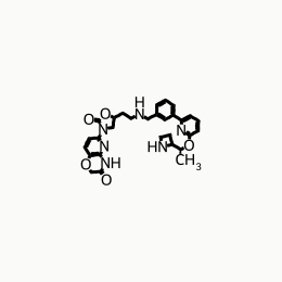 C[C@H](Oc1cccc(-c2cccc(CNCCC3CN(c4ccc5c(n4)NC(=O)CO5)C(=O)O3)c2)n1)C1CCN1